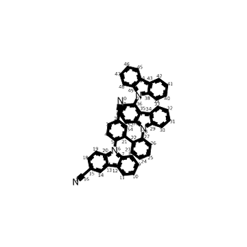 N#Cc1ccc(-n2c3ccccc3c3cc(C#N)ccc32)c(-c2ccccc2-n2c3ccccc3c3c(-n4c5ccccc5c5ccccc54)cccc32)c1